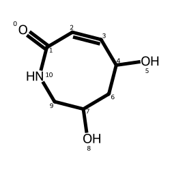 O=C1C=CC(O)CC(O)CN1